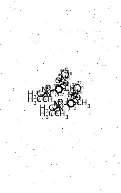 Cc1ccc(-c2nc(C(C)(C)C)no2)cc1S(=O)(=O)N1CCCCC1.Cc1ccc(-c2nc(C(C)(C)C)no2)cc1S(=O)(=O)N1CCSCC1